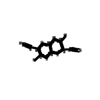 [C-]#[N+]c1cc2cc(C)c(C#N)cc2cc1C